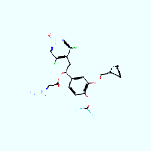 NCC(=O)OC(Cc1c(Cl)c[n+]([O-])cc1Cl)c1ccc(OC(F)F)c(OCC2CC2)c1